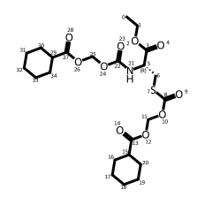 CCOC(=O)[C@H](CSC(=O)OCOC(=O)C1CCCCC1)NC(=O)OCOC(=O)C1CCCCC1